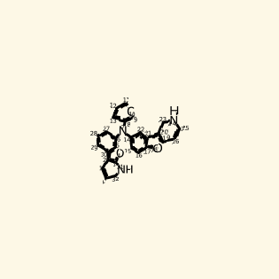 C1=Cc2c(oc3c(N(c4ccccc4)c4ccc5oc6c(c5c4)CNC=C6)cccc23)NC1